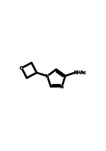 CC(=O)Nc1cn(C2COC2)cn1